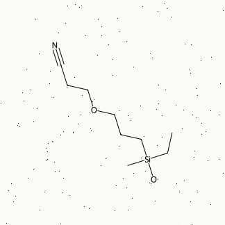 CC[Si](C)([O])CCCOCCC#N